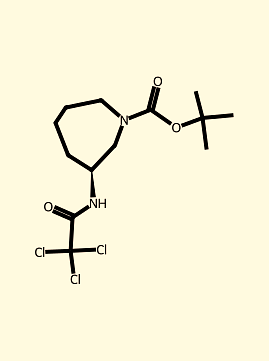 CC(C)(C)OC(=O)N1CCCC[C@H](NC(=O)C(Cl)(Cl)Cl)C1